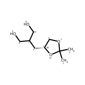 CC1(C)OC[C@@H](CC(CO)CO)O1